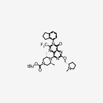 C[C@H]1CN(C(=O)OC(C)(C)C)C[C@H](C)N1c1nc(OC[C@@H]2CCCN2C)nc2c(=O)n(-c3cccc4c3CCC4)c(C(F)(F)F)nc12